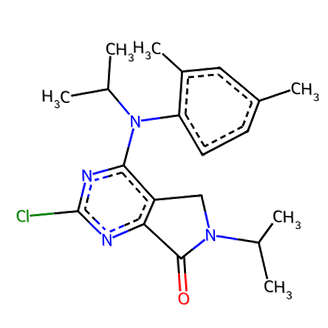 Cc1ccc(N(c2nc(Cl)nc3c2CN(C(C)C)C3=O)C(C)C)c(C)c1